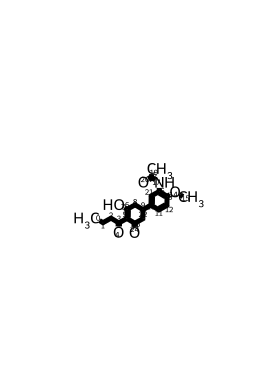 CCCC(=O)C1=C(O)CC(c2ccc(OC)c(NC(C)=O)c2)CC1=O